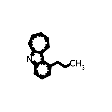 CCCc1cccc2nc3cccccc-3c12